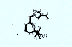 CCc1cnn(Cc2cccc(C(C)(C)O)n2)c1